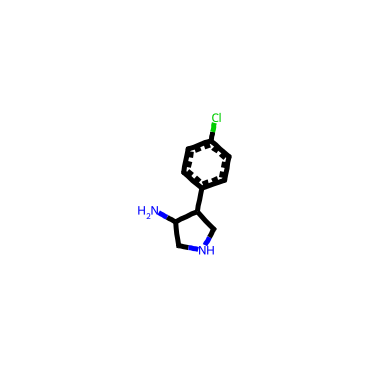 NC1CNCC1c1ccc(Cl)cc1